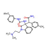 COc1cccc(NC(=O)NC2(C(C(N)=O)c3ccc(C)cc3)C(=O)N(CCN(C)C)c3ccccc32)c1